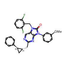 COc1cccc(-n2c(=O)n(Cc3c(F)cccc3F)c3cnc(C[C@@H]4C[C@H]4c4ccccc4)nc32)c1